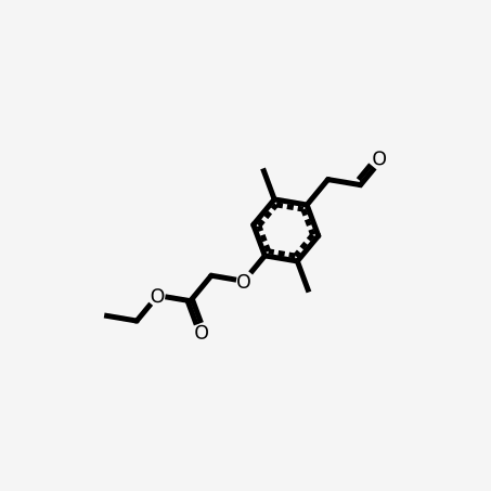 CCOC(=O)COc1cc(C)c(CC=O)cc1C